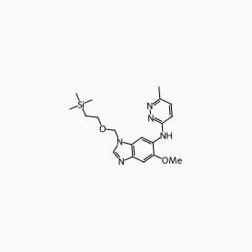 COc1cc2ncn(COCC[Si](C)(C)C)c2cc1Nc1ccc(C)nn1